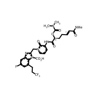 CNC(=O)/C=C/CC[C@H](OC(=O)N(C)C)C(=O)Nc1cccn(Cc2nc3cc(F)cc(CCC(F)(F)F)c3n2C(=O)O)c1=O